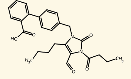 CCCCc1c(C=O)n(C(=O)CCC)c(=O)n1Cc1ccc(-c2ccccc2C(=O)O)cc1